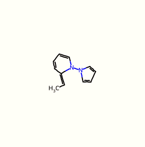 CC=C1C=CC=CN1n1cccc1